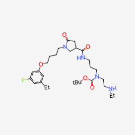 CCNCCN(CCCNC(=O)C1CC(=O)N(CCCCOc2cc(F)cc(CC)c2)C1)C(=O)OC(C)(C)C